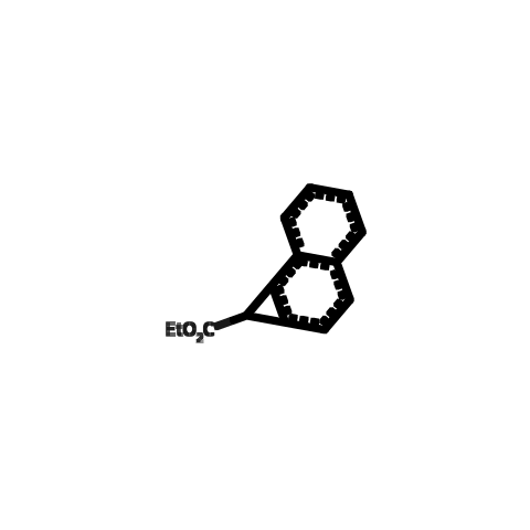 CCOC(=O)C1c2ccc3ccccc3c21